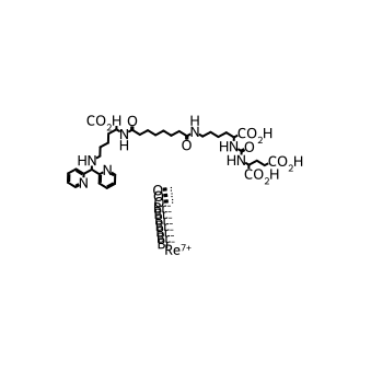 O=C(O)CCC(NC(=O)NC(CCCCNC(=O)CCCCCCC(=O)NC(CCCCNC(c1ccccn1)c1ccccn1)C(=O)O)C(=O)O)C(=O)O.[Br-].[Br-].[Br-].[Br-].[Br-].[Br-].[Br-].[C]=O.[C]=O.[C]=O.[Re+7]